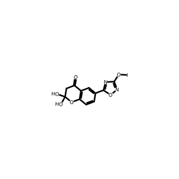 O=C1CC(O)(O)Oc2ccc(-c3nc(OI)no3)cc21